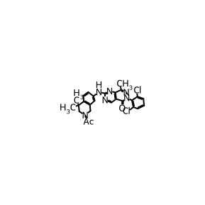 CC(=O)N1Cc2cc(Nc3ncc4c(=O)n(-c5c(Cl)cccc5Cl)nc(C)c4n3)ccc2C(C)(C)C1